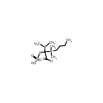 CCCC[N+](C)(C)C(OS(=O)(=O)O)(C(=O)[O-])N(C)C